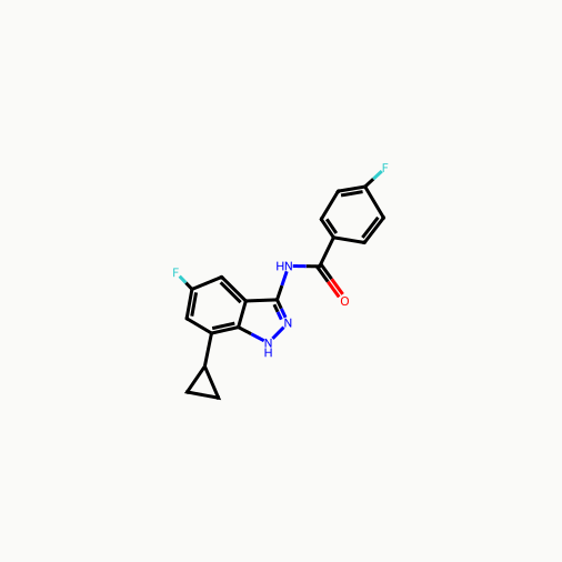 O=C(Nc1n[nH]c2c(C3CC3)cc(F)cc12)c1ccc(F)cc1